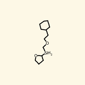 C1CCC(CCOC[SiH2]C2CCCO2)CC1